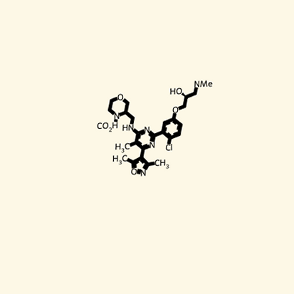 CNC[C@H](O)COc1ccc(Cl)c(-c2nc(NCC3COCCN3C(=O)O)c(C)c(-c3c(C)noc3C)n2)c1